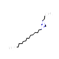 CCCCCCCCCCCCCCn1cc[n+](CCCC)c1